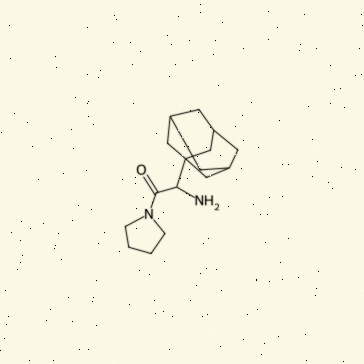 NC(C(=O)N1CCCC1)C12CC3CC(CC(C3)C1)C2